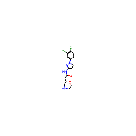 O=C(CC1CNCCO1)NC1=NN(c2ccc(Cl)c(Cl)c2)CC1